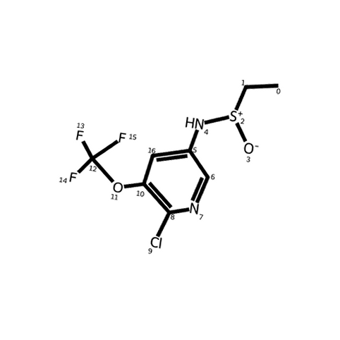 CC[S+]([O-])Nc1cnc(Cl)c(OC(F)(F)F)c1